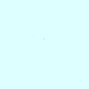 CCOCC(CCC(F)(F)Br)(COCCC(C)C)C1CCCCC1